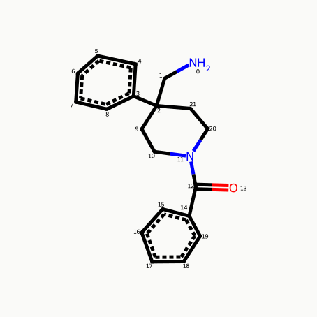 NCC1(c2ccccc2)CCN(C(=O)c2ccccc2)CC1